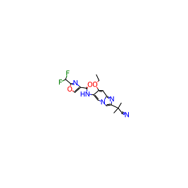 CCOc1cc2nc(C(C)(C)C#N)cn2cc1NC(=O)c1coc(C(F)F)n1